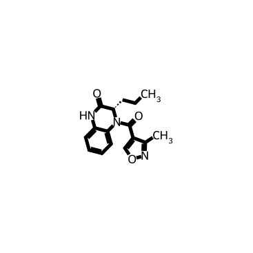 CCC[C@H]1C(=O)Nc2ccccc2N1C(=O)c1conc1C